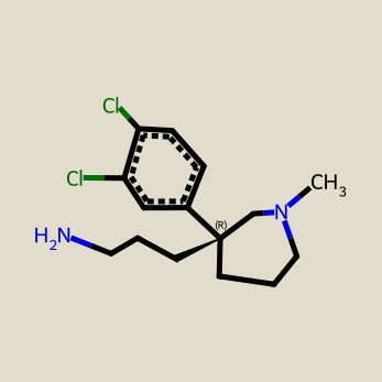 CN1CCC[C@](CCCN)(c2ccc(Cl)c(Cl)c2)C1